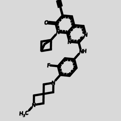 CN1CC2(C1)CN(c1ccc(Nc3ncc4cc(C#N)c(=O)n(C56CC(C5)C6)c4n3)cc1F)C2